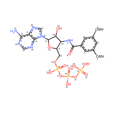 COc1cc(OC)cc(C(=O)NC2C(COP(=O)(O)OP(=O)(O)OP(=O)(O)O)OC(n3cnc4c(N)ncnc43)C2O)c1